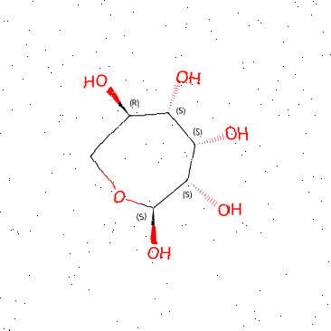 O[C@H]1[C@@H](O)[C@H](O)CO[C@H](O)[C@H]1O